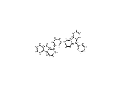 c1ccc(-n2c3ccccc3c3cc(-c4cccc(-c5ncnc6c5sc5ccccc56)c4)ccc32)cc1